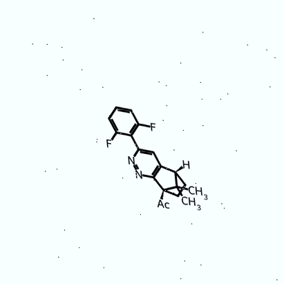 CC(=O)[C@@]12CC[C@@H](c3cc(-c4c(F)cccc4F)nnc31)C2(C)C